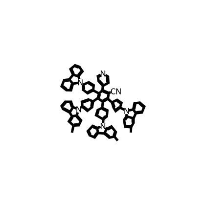 Cc1ccc2c(c1)c1ccccc1n2-c1ccc(-c2c(C#N)c(-c3ccncc3)c(-c3ccc(-n4c5ccccc5c5ccccc54)cc3)c(-c3ccc(-n4c5ccccc5c5cc(C)ccc54)cc3)c2-c2ccc(-n3c4ccccc4c4cc(C)ccc43)cc2)cc1